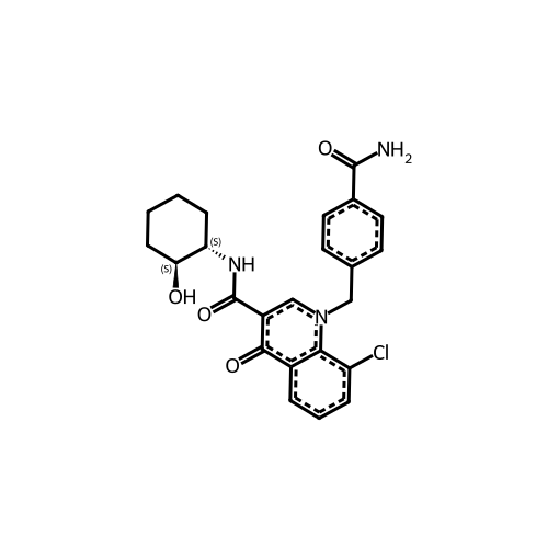 NC(=O)c1ccc(Cn2cc(C(=O)N[C@H]3CCCC[C@@H]3O)c(=O)c3cccc(Cl)c32)cc1